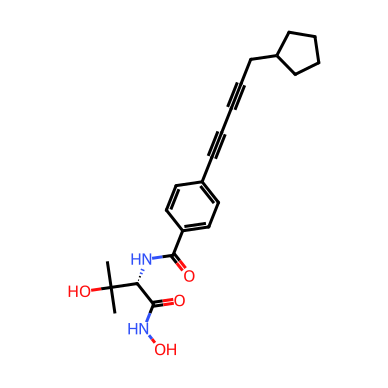 CC(C)(O)[C@H](NC(=O)c1ccc(C#CC#CCC2CCCC2)cc1)C(=O)NO